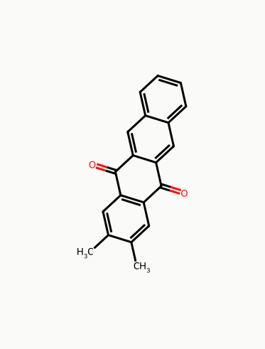 Cc1cc2c(cc1C)C(=O)c1cc3ccccc3cc1C2=O